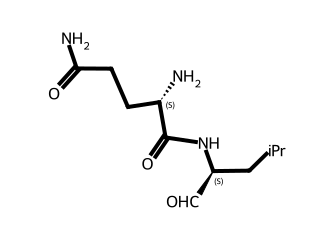 CC(C)C[C@@H](C=O)NC(=O)[C@@H](N)CCC(N)=O